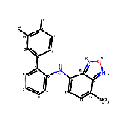 Cc1ccc(-c2ccccc2Nc2ccc([N+](=O)[O-])c3nonc23)cc1C